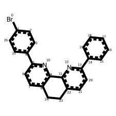 Brc1ccc(-c2ccc3c(n2)-c2nc(-c4ccccc4)ccc2CC3)cc1